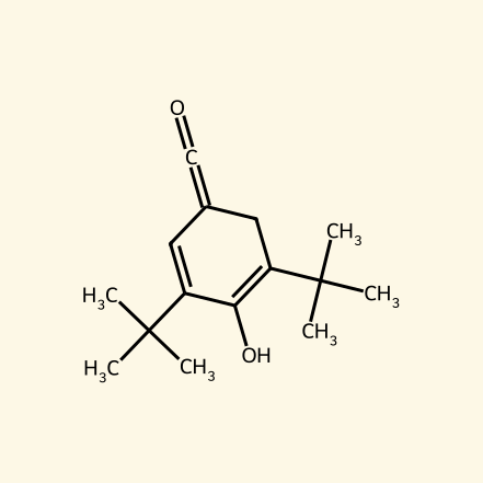 CC(C)(C)C1=CC(=C=O)CC(C(C)(C)C)=C1O